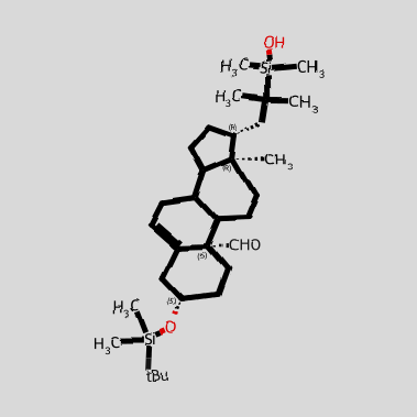 CC(C)(C[C@H]1CCC2C3CC=C4C[C@@H](O[Si](C)(C)C(C)(C)C)CC[C@]4(C=O)C3CC[C@@]21C)[Si](C)(C)O